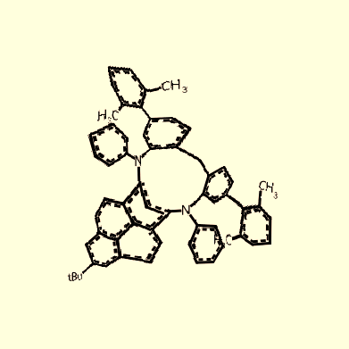 Cc1cccc(C)c1-c1ccc2c(c1)N(c1ccccc1)c1cc(c3ccc4cc(C(C)(C)C)cc5ccc1c3c54)N(c1ccccc1)c1cc(-c3c(C)cccc3C)ccc1C2